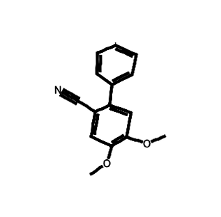 COc1cc(C#N)c(-c2cc[c]cc2)cc1OC